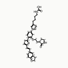 O=C(O)NCCCCc1cn(-c2ccc(-c3nc(/C=C/c4ccc5c(c4)CCO5)cs3)c(OCCN3CCNC3=O)c2)nn1